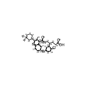 Cc1c(N2CCCC(F)(F)C2)nc2ccc(Br)cc2c1C(=O)NCC(CCC(=O)O)c1ccccc1Cl